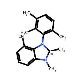 Cc1ccc(C)c(N2c3c(C#N)cccc3N(C)[C@@H]2C)c1C